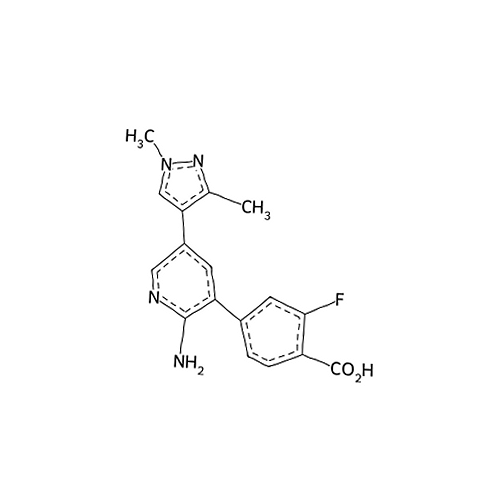 Cc1nn(C)cc1-c1cnc(N)c(-c2ccc(C(=O)O)c(F)c2)c1